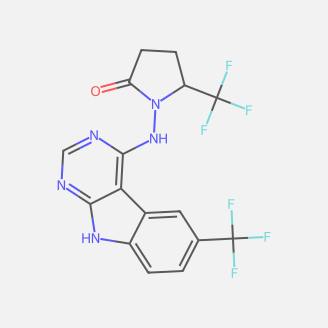 O=C1CCC(C(F)(F)F)N1Nc1ncnc2[nH]c3ccc(C(F)(F)F)cc3c12